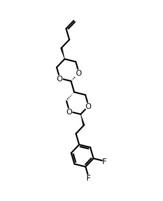 C=CCC[C@H]1CO[C@H]([C@H]2CO[C@H](CCc3ccc(F)c(F)c3)OC2)OC1